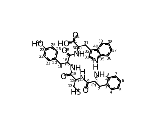 N[C@H](Cc1ccccc1)C(=O)N[C@@H](CS)C(=O)N[C@@H](Cc1ccc(O)cc1)C(=O)N[C@H](Cc1c[nH]c2ccccc12)C(=O)O